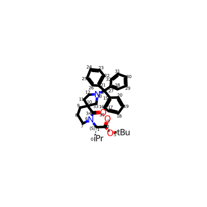 CC(C)[C@@H](C(=O)OC(C)(C)C)N1CCCC2(CCN(C(c3ccccc3)(c3ccccc3)c3ccccc3)C2)C1=O